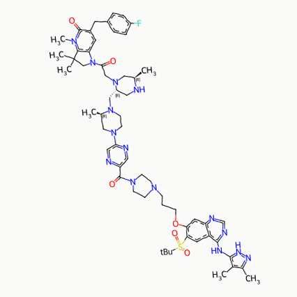 Cc1n[nH]c(Nc2ncnc3cc(OCCCN4CCN(C(=O)c5cnc(N6CCN(C[C@H]7CN[C@H](C)CN7CC(=O)N7CC(C)(C)c8c7cc(Cc7ccc(F)cc7)c(=O)n8C)[C@H](C)C6)cn5)CC4)c(S(=O)(=O)C(C)(C)C)cc23)c1C